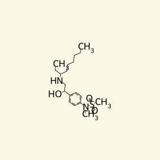 CCCCCCC(CC)NCC(O)c1ccc(N(C)S(C)(=O)=O)cc1